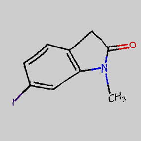 CN1C(=O)Cc2ccc(I)cc21